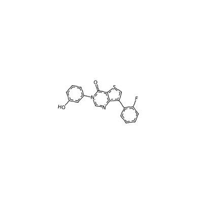 O=c1c2scc(-c3ccccc3F)c2ncn1-c1cccc(O)c1